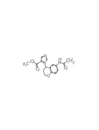 COC(=O)c1cncn1C1CCOc2ccc(NC(C)=O)cc21